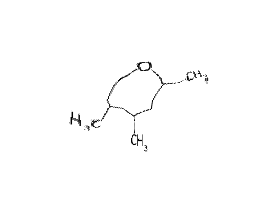 CC1CC(C)C(C)CO1